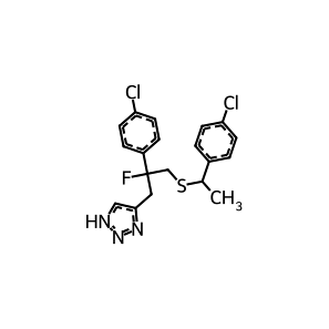 CC(SCC(F)(Cc1c[nH]nn1)c1ccc(Cl)cc1)c1ccc(Cl)cc1